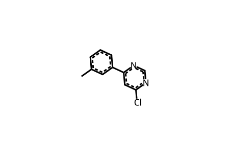 Cc1cccc(-c2cc(Cl)ncn2)c1